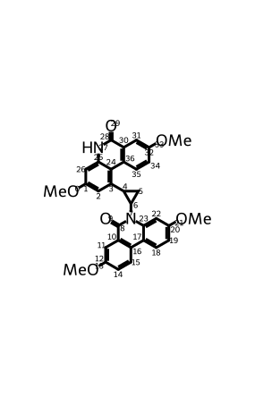 COc1cc(C2CC2n2c(=O)c3cc(OC)ccc3c3ccc(OC)cc32)c2c(c1)[nH]c(=O)c1cc(OC)ccc12